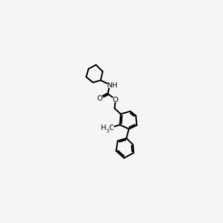 Cc1c(COC(=O)NC2CCCCC2)cccc1-c1ccccc1